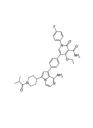 CCOc1c(-c2ccc(-c3cc(C4CCN(C(=O)C(C)C)CC4)n4ccnc(N)c34)cc2)cn(-c2ccc(F)cc2)c(=O)c1C(N)=O